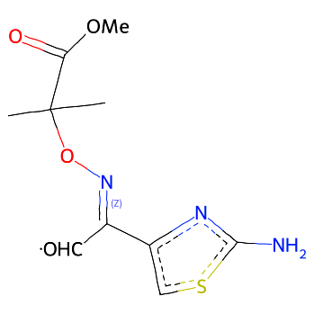 COC(=O)C(C)(C)O/N=C(\[C]=O)c1csc(N)n1